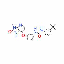 Cn1c(=O)[nH]c2c(Oc3cccc(NC(=O)Nc4cccc(C(C)(C)C)c4)c3)ccnc21